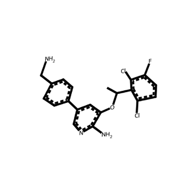 CC(Oc1cc(-c2ccc(CN)cc2)cnc1N)c1c(Cl)ccc(F)c1Cl